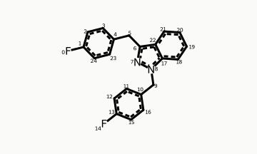 Fc1ccc(Cc2nn(Cc3ccc(F)cc3)c3ccccc23)cc1